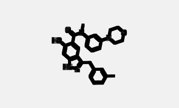 Cc1cccc(Cc2n[nH]c3cc(O)c(C(=O)N(C)c4cccc(N5CCOCC5)c4)cc23)c1